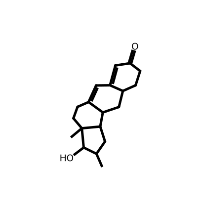 CC1CC2C3CC4CCC(=O)C=C4C=C3CCC2(C)C1O